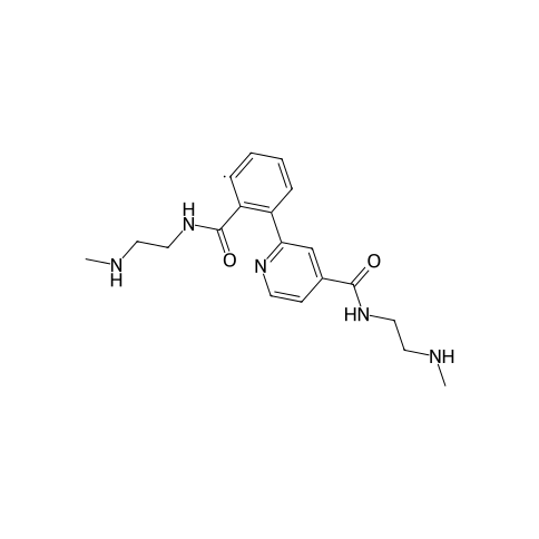 CNCCNC(=O)c1ccnc(-c2ccc[c]c2C(=O)NCCNC)c1